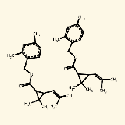 CC(C)=CC1C(C(=O)OCc2ccc(C)cc2C)C1(C)C.CC(C)=CC1C(C(=O)OCc2ccc(C)cc2C)C1(C)C